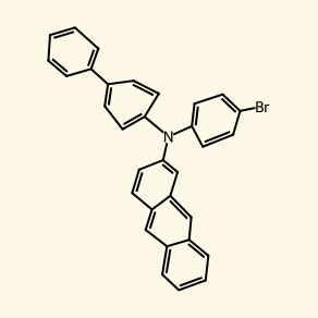 Brc1ccc(N(c2ccc(-c3ccccc3)cc2)c2ccc3cc4ccccc4cc3c2)cc1